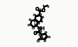 CCOC(=O)c1ccc2c(c1)CCC[C@H]2NC(=O)c1cccn1C